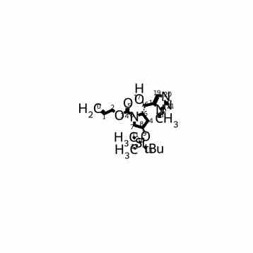 C=CCOC(=O)N1C[C@H](O[Si](C)(C)C(C)(C)C)C[C@H]1C(O)c1cnnn1C